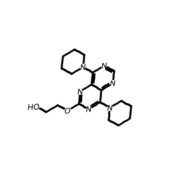 OCCOc1nc(N2CCCCC2)c2ncnc(N3CCCCC3)c2n1